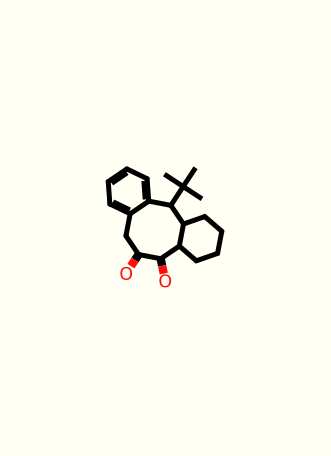 CC(C)(C)C1c2ccccc2CC(=O)C(=O)C2CCCCC21